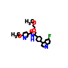 COCCOCC(NC(=O)c1ccc(OC)nc1)C1CCC(c2ccnc3ccc(F)cc23)CC1